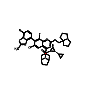 Nc1nc2c(-c3c(Cl)cc4c(N5CC6CCC(C5)N6C(=O)[C@H]5N[C@@H]5C5CC5)nc(OCC56CCCN5CCC6)nc4c3F)ccc(F)c2s1